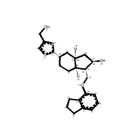 OCc1csc([C@H]2CC[C@H]3[C@@H](C2)C[C@@H](O)[C@@H]3COc2cccc3c2CCC3)n1